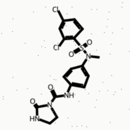 CN(c1ccc(NC(=O)N2CCNC2=O)cc1)S(=O)(=O)c1ccc(Cl)cc1Cl